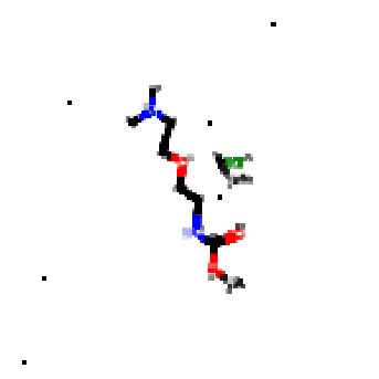 CN(C)CCOCCNC(=O)OC(C)(C)C.CNC.Cl